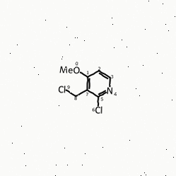 COc1ccnc(Cl)c1CCl